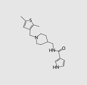 Cc1cc(CN2CCC(CNC(=O)c3cc[nH]c3)CC2)c(C)s1